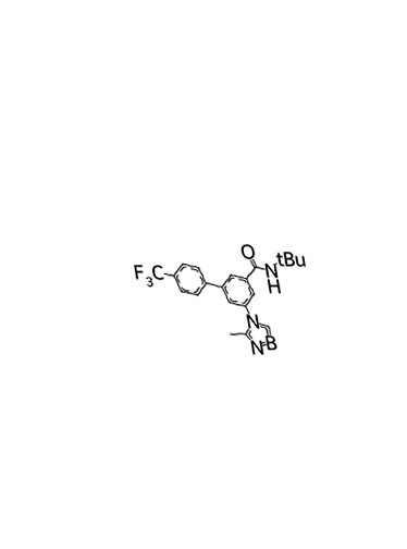 Cc1nbcn1-c1cc(C(=O)NC(C)(C)C)cc(-c2ccc(C(F)(F)F)cc2)c1